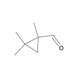 CC1(C)CC1(C)[C]=O